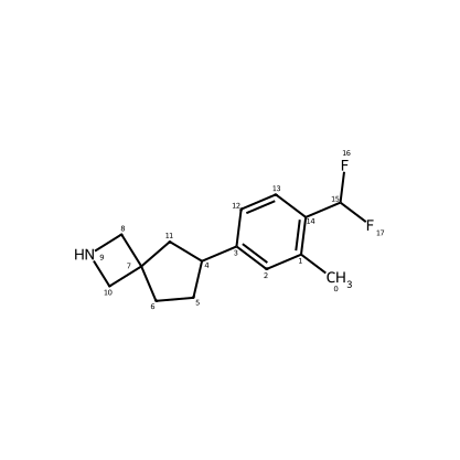 Cc1cc(C2CCC3(CNC3)C2)ccc1C(F)F